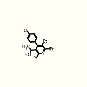 CCc1c(C(C)C)nc(C(C)C)c(C(C)O)c1-c1ccc(Cl)cc1